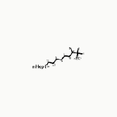 C[CH]C(C)(C)C(C)CCCCCCCCCCCCC